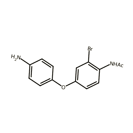 CC(=O)Nc1ccc(Oc2ccc(N)cc2)cc1Br